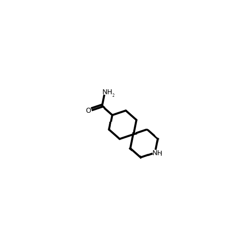 NC(=O)C1CCC2(CCNCC2)CC1